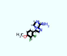 COc1ccc(-c2cnc3c(N)nccn23)c(F)c1F